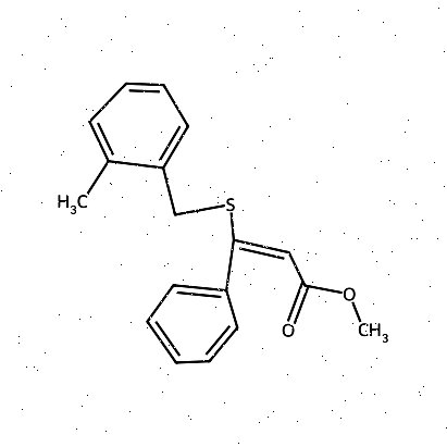 COC(=O)C=C(SCc1ccccc1C)c1ccccc1